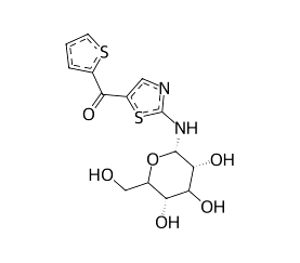 O=C(c1cccs1)c1cnc(N[C@H]2OC(CO)[C@@H](O)C(O)[C@H]2O)s1